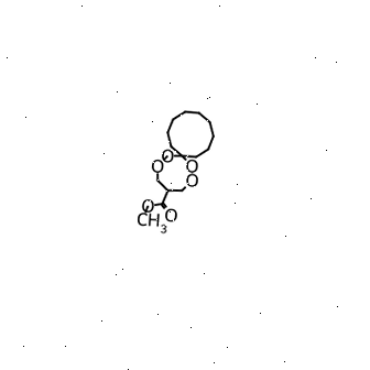 COC(=O)C1COOC2(CCCCCCCCC2)OOC1